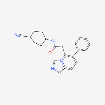 N#CC1CCC(NC(=O)Cc2c(-c3ccccc3)ccc3cncn23)CC1